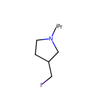 CC(C)N1CCC(CI)C1